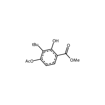 COC(=O)c1ccc(OC(C)=O)c(C(C)(C)C)c1O